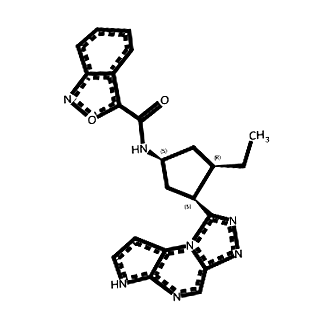 CC[C@@H]1C[C@H](NC(=O)c2onc3ccccc23)C[C@@H]1c1nnc2cnc3[nH]ccc3n12